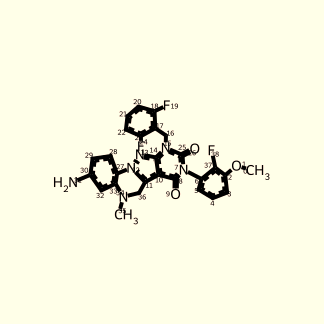 COc1cccc(-n2c(=O)c3c4n(nc3n(Cc3c(F)cccc3F)c2=O)-c2ccc(N)cc2N(C)C4)c1F